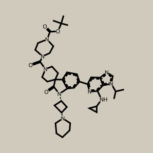 CC(C)n1cnc2cc(-c3ccc4c(c3)N([C@H]3C[C@@H](N5CCCCC5)C3)C(=O)C43CCN(C(=O)N4CCN(C(=O)OC(C)(C)C)CC4)CC3)nc(NC3CC3)c21